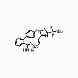 CCC=Cc1nc(C(F)(F)CCCC)nn1Cc1ccc(-c2ccccc2-c2nnn[nH]2)cc1